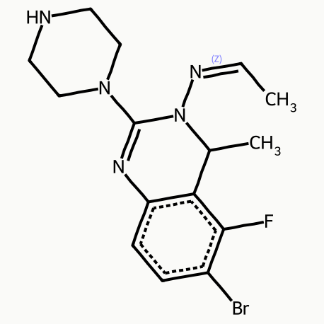 C/C=N\N1C(N2CCNCC2)=Nc2ccc(Br)c(F)c2C1C